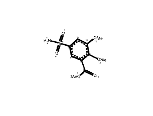 COC(=O)c1cc(S(N)(=O)=O)cc(OC)c1OC